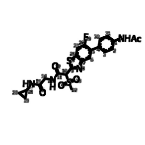 CC(=O)Nc1ccc(-c2cc3nc(C(C(=O)NCC(=O)NC4CC4)S(C)(=O)=O)sc3cc2F)cc1